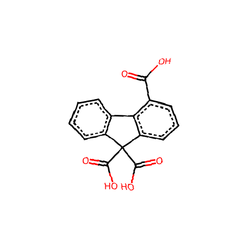 O=C(O)c1cccc2c1-c1ccccc1C2(C(=O)O)C(=O)O